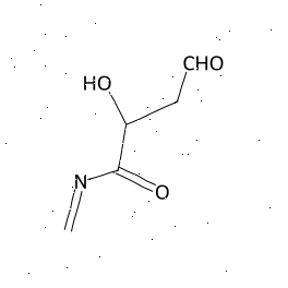 C=NC(=O)C(O)CC=O